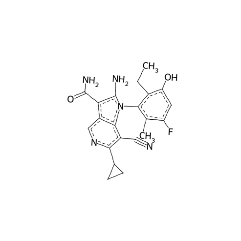 CCc1c(O)cc(F)c(C)c1-n1c(N)c(C(N)=O)c2cnc(C3CC3)c(C#N)c21